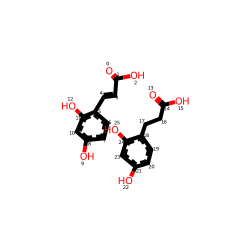 O=C(O)C=Cc1ccc(O)cc1O.O=C(O)CCc1ccc(O)cc1O